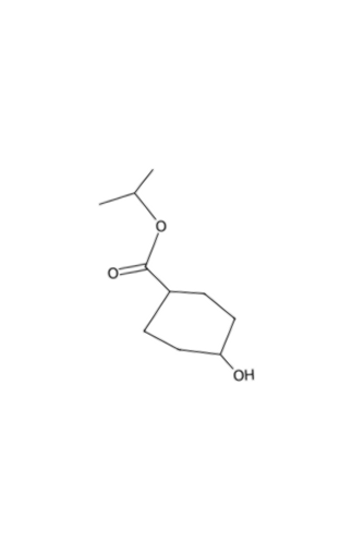 CC(C)OC(=O)C1CCC(O)CC1